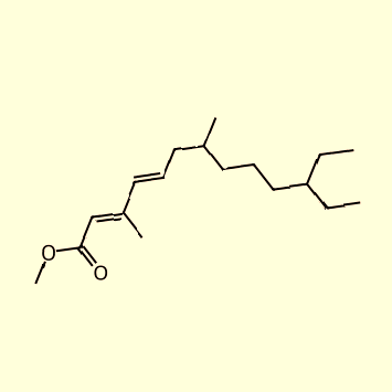 CCC(CC)CCCC(C)C/C=C/C(C)=C/C(=O)OC